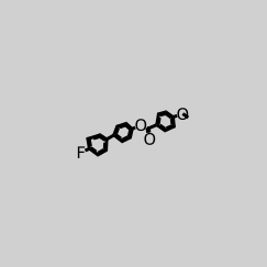 COc1ccc(C(=O)Oc2ccc(-c3ccc(F)cc3)cc2)cc1